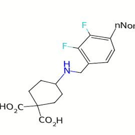 CCCCCCCCCc1ccc(CNC2CCC(C(=O)O)(C(=O)O)CC2)c(F)c1F